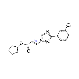 O=C(/C=C/n1cnc(-c2cccc(Cl)c2)n1)OC1CCCC1